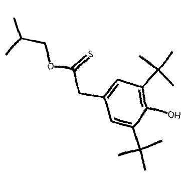 CC(C)COC(=S)Cc1cc(C(C)(C)C)c(O)c(C(C)(C)C)c1